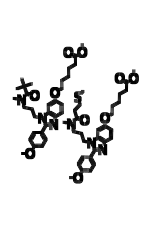 COC(=O)CCCCCOc1ccc2nc(-c3ccc(OC)cc3)n(CCCN(C)C(=O)C(C)(C)C)c2c1.COC(=O)CCCCCOc1ccc2nc(-c3ccc(OC)cc3)n(CCCN(C)C(=O)CCSC)c2c1